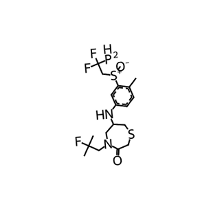 Cc1ccc(NC2CSCC(=O)N(CC(C)(C)F)C2)cc1[S+]([O-])CC(F)(F)P